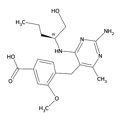 CCC[C@@H](CO)Nc1nc(N)nc(C)c1Cc1ccc(C(=O)O)cc1OC